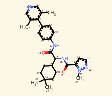 Cc1cncc(C)c1-c1ccc(NC(=O)[C@@H](NC(=O)c2ccnn2C)C2CCC(C)(C)CC2)cc1